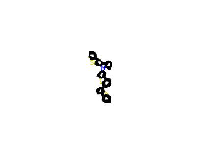 c1ccc2c(c1)sc1cc3c(cc12)c1ccccc1n3-c1ccc2sc3c(-c4cccc5c4sc4ccccc45)cccc3c2c1